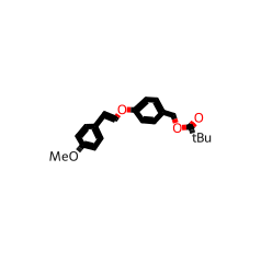 COc1ccc(/C=C/Oc2ccc(COC(=O)C(C)(C)C)cc2)cc1